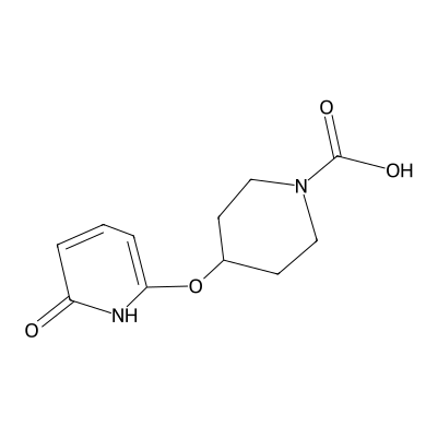 O=C(O)N1CCC(Oc2cccc(=O)[nH]2)CC1